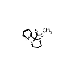 CSC(=S)C1(c2ccccn2)SCCCS1